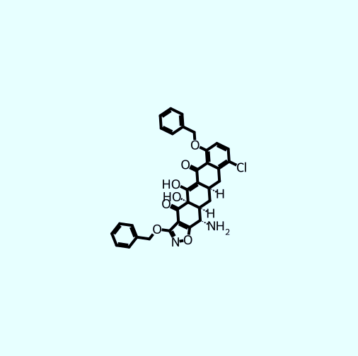 N[C@@H]1c2onc(OCc3ccccc3)c2C(=O)[C@@]2(O)C(O)=C3C(=O)c4c(OCc5ccccc5)ccc(Cl)c4C[C@H]3C[C@@H]12